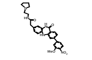 COc1cc(-c2ccc3c(c2)Nc2ccc(CC(=O)NCCN4CCCC4)cc2NC3=O)ccc1[N+](=O)[O-]